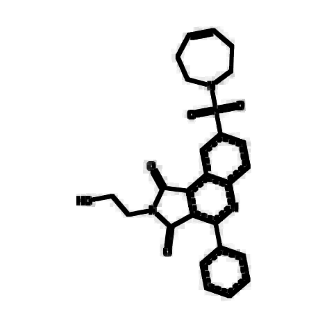 O=C1c2c(-c3ccccc3)nc3ccc(S(=O)(=O)N4CCC=CCC4)cc3c2C(=O)N1CCO